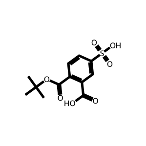 CC(C)(C)OC(=O)c1ccc(S(=O)(=O)O)cc1C(=O)O